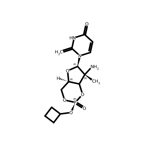 C=C1NC(=O)C=CN1[C@@H]1O[C@@H]2CO[P@](=O)(OC3CCC3)OC2[C@@]1(C)N